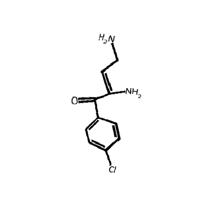 NCC=C(N)C(=O)c1ccc(Cl)cc1